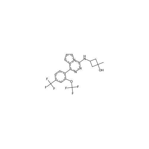 CC1(O)CC(Nc2nnc(-c3ccc(C(F)(F)F)cc3OC(F)(F)F)c3cccn23)C1